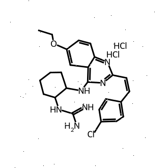 CCOc1ccc2nc(/C=C\c3ccc(Cl)cc3)nc(NC3CCCCC3NC(=N)N)c2c1.Cl.Cl